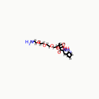 CC(C)(C)C(OCCOCCOCCOCCN)(C(=O)O)C(=O)C(N)Cc1ccccc1